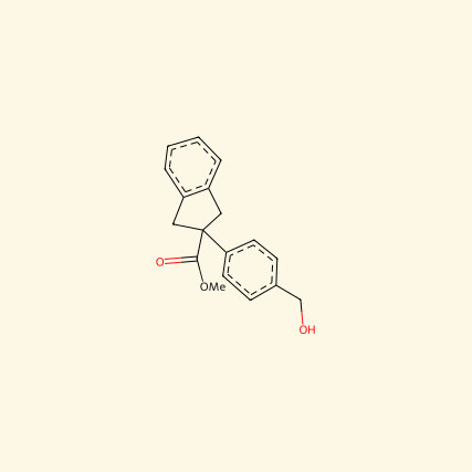 COC(=O)C1(c2ccc(CO)cc2)Cc2ccccc2C1